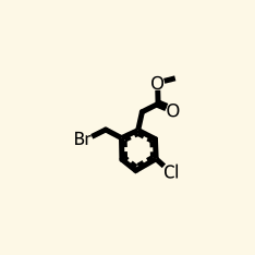 COC(=O)Cc1cc(Cl)ccc1CBr